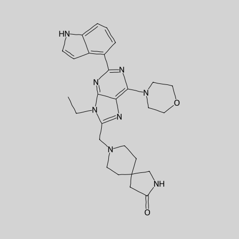 CCn1c(CN2CCC3(CC2)CNC(=O)C3)nc2c(N3CCOCC3)nc(-c3cccc4[nH]ccc34)nc21